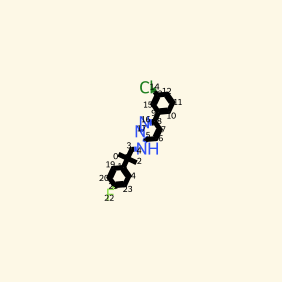 CC(C)(CNc1ccc(-c2cccc(Cl)c2)nn1)c1ccc(F)cc1